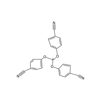 N#Cc1ccc(OP(Oc2ccc(C#N)cc2)Oc2ccc(C#N)cc2)cc1